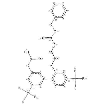 O=C(O)Cc1cc(-c2ccc(C(F)(F)F)cc2CNCCC(=O)OCc2ccccc2)cc(C(F)(F)F)c1